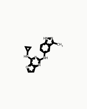 Cc1n[nH]c2ccc(Nc3nc(NC4CC4)c4occc4n3)cc12